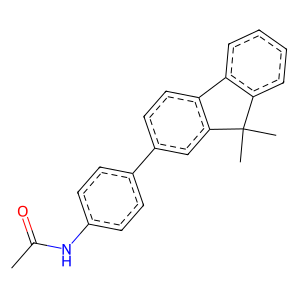 CC(=O)Nc1ccc(-c2ccc3c(c2)C(C)(C)c2ccccc2-3)cc1